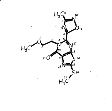 COCCn1c(-c2nc(C)no2)nc2sc(SC)nc2c1=O